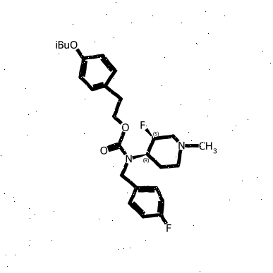 CC(C)COc1ccc(CCOC(=O)N(Cc2ccc(F)cc2)[C@@H]2CCN(C)C[C@@H]2F)cc1